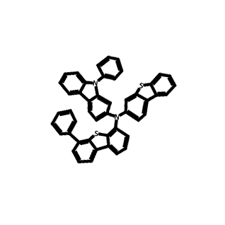 c1ccc(-c2cccc3c2sc2c(N(c4ccc5c(c4)sc4ccccc45)c4ccc5c6ccccc6n(-c6ccccc6)c5c4)cccc23)cc1